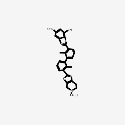 Cc1c(-c2nc3cc(C=O)cc(C#N)c3o2)cccc1-c1cccc(-c2nc3c(s2)CN(C(=O)O)CC3)c1C